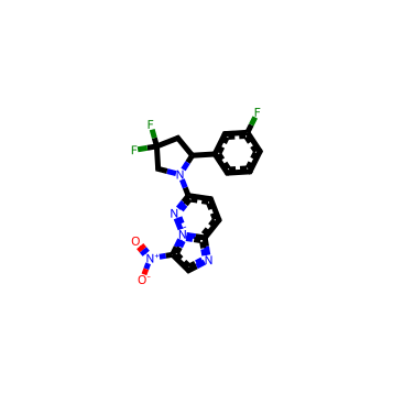 O=[N+]([O-])c1cnc2ccc(N3CC(F)(F)CC3c3cccc(F)c3)nn12